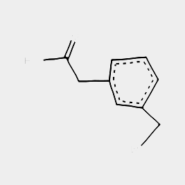 CC(=O)Cc1cccc(CBr)c1